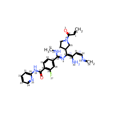 C=CC(=O)N1CCC(C(/N=C(\NC)c2ccc(C(=O)Nc3ccccn3)c(F)c2)=C(N)\C=C/N=C)C1